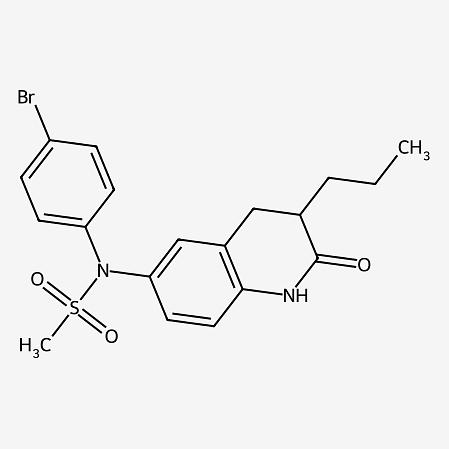 CCCC1Cc2cc(N(c3ccc(Br)cc3)S(C)(=O)=O)ccc2NC1=O